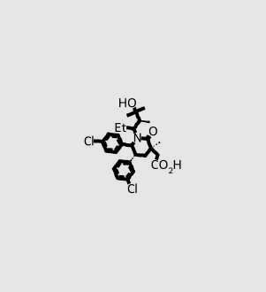 CCC([C@H](C)C(C)(C)O)N1C(=O)[C@@](C)(CC(=O)O)C[C@H](c2cccc(Cl)c2)C1c1ccc(Cl)cc1